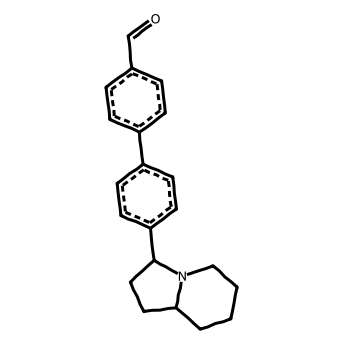 O=Cc1ccc(-c2ccc(C3CCC4CCCCN43)cc2)cc1